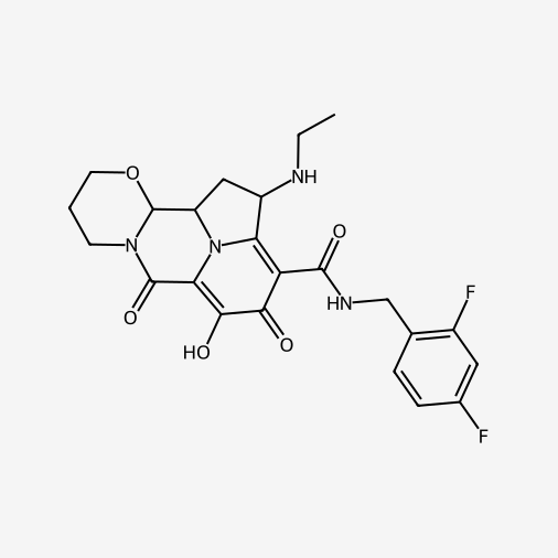 CCNC1CC2C3OCCCN3C(=O)c3c(O)c(=O)c(C(=O)NCc4ccc(F)cc4F)c1n32